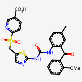 COc1ccccc1C(=O)c1cc(C)ccc1NC(=O)Nc1ncc(CS(=O)(=O)c2ccc(C(=O)O)cn2)s1